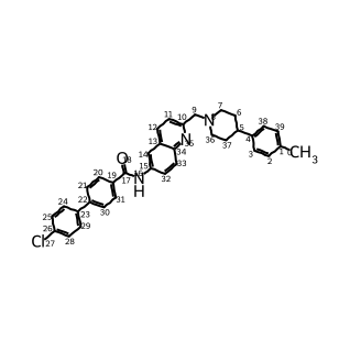 Cc1ccc(C2CCN(Cc3ccc4cc(NC(=O)c5ccc(-c6ccc(Cl)cc6)cc5)ccc4n3)CC2)cc1